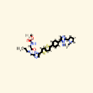 CCCN(Cc1ncc(-c2cc3sc(-c4ccc(-c5cnc(C6CCCN6C)[nH]5)cc4)cc3s2)[nH]1)C(=O)CNC(=O)OC